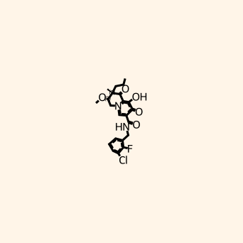 CCC[C@]1(C)C(=O)c2c(O)c(=O)c(C(=O)NCc3cccc(Cl)c3F)cn2C[C@@H]1OC